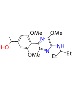 CCC(CC)Nc1nc(C)c(-c2c(OC)cc(C(C)O)cc2OC)nc1OC